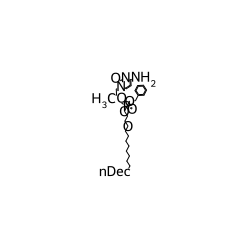 CCCCCCCCCCCCCCCCCCOCCOP(=O)(COC(C)Cn1ccc(N)nc1=O)OCc1ccccc1